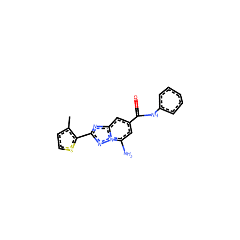 Cc1ccsc1-c1nc2cc(C(=O)Nc3ccccc3)cc(N)n2n1